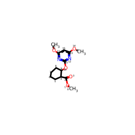 COC(=O)C1CCCCC1Oc1nc(OC)cc(OC)n1